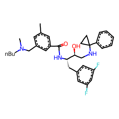 CCCCN(C)Cc1cc(C)cc(C(=O)N[C@@H](Cc2cc(F)cc(F)c2)[C@@H](O)CNC2(c3ccccc3)CC2)c1